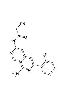 CCc1ccncc1-c1cc2cc(NC(=O)CC#N)ncc2c(N)n1